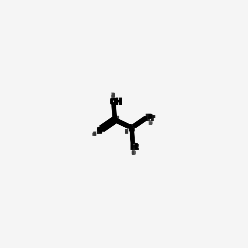 CCN(C(O)=S)C(C)C